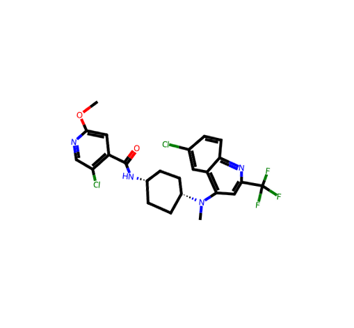 COc1cc(C(=O)N[C@H]2CC[C@@H](N(C)c3cc(C(F)(F)F)nc4ccc(Cl)cc34)CC2)c(Cl)cn1